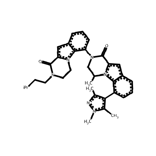 Cc1nn(C)c(C)c1-c1cccc2cc3n(c12)C(C)CN(c1cccc2cc4n(c12)CCN(CCC(C)C)C4=O)C3=O